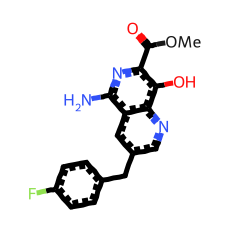 COC(=O)c1nc(N)c2cc(Cc3ccc(F)cc3)cnc2c1O